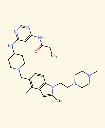 Cc1c(CN2CCC(Nc3cc(NC(=O)CC(F)(F)F)ncn3)CC2)ccc2c1cc(C#N)n2CCN1CCN(C)CC1